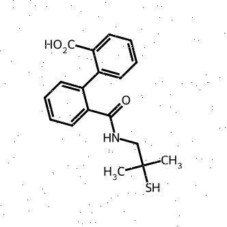 CC(C)(S)CNC(=O)c1ccccc1-c1ccccc1C(=O)O